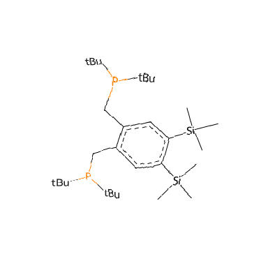 CC(C)(C)P(Cc1cc([Si](C)(C)C)c([Si](C)(C)C)cc1CP(C(C)(C)C)C(C)(C)C)C(C)(C)C